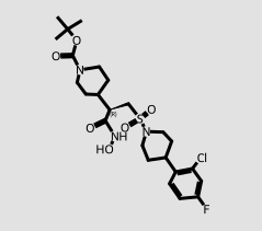 CC(C)(C)OC(=O)N1CCC([C@@H](CS(=O)(=O)N2CCC(c3ccc(F)cc3Cl)CC2)C(=O)NO)CC1